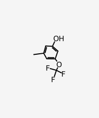 Cc1cc(O)cc(OC(F)(F)F)c1